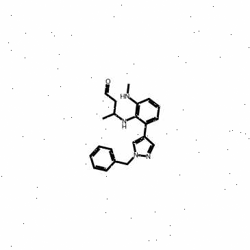 CNc1cccc(-c2cnn(Cc3ccccc3)c2)c1NC(C)CC=O